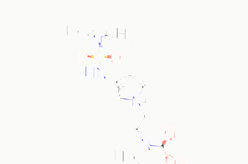 CN(CCN1CC[C@@H](NS(=O)(=O)N(C)C)C1)C(=O)O